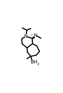 BC1(C)CCCC2/C(=N\C)N(C(C)C)CCC2C1